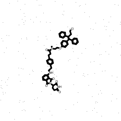 CN(CCOc1ccc(/C(=C(/CCCl)c2ccccc2)c2ccccc2)cc1)C(=O)CCc1ccc(CCNc2cccc3c2C(=O)N(C2CCC(=O)NC2=O)C3=O)cc1